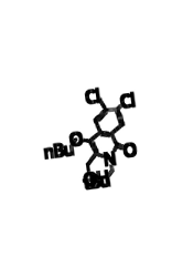 CCCCOc1c(CO)n(CC(C)(C)C)c(=O)c2cc(Cl)c(Cl)cc12